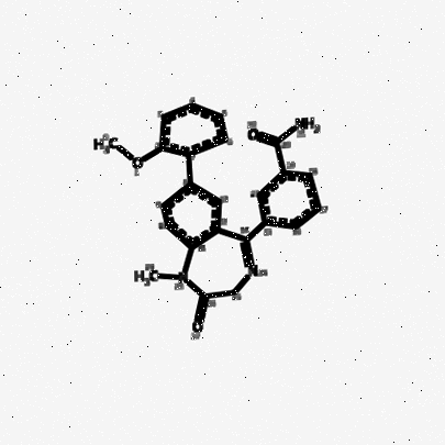 COc1ccccc1-c1ccc2c(c1)C(c1cccc(C(N)=O)c1)=NCC(=O)N2C